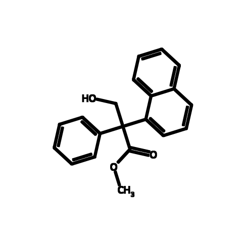 COC(=O)C(CO)(c1ccccc1)c1cccc2ccccc12